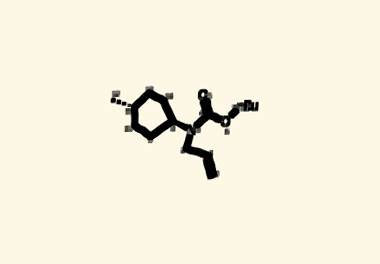 C=CCN(C(=O)OCCCC)[C@H]1CC[C@H](C)CC1